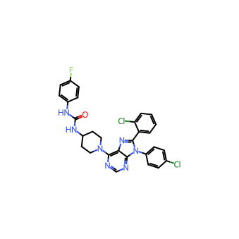 O=C(Nc1ccc(F)cc1)NC1CCN(c2ncnc3c2nc(-c2ccccc2Cl)n3-c2ccc(Cl)cc2)CC1